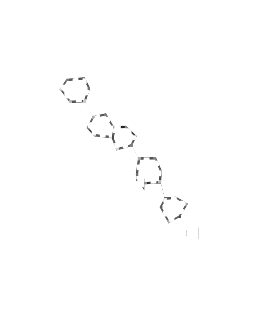 Cc1ccc(-c2ccc(-c3ccc4cc(-c5ccccc5)ccc4c3)cn2)cc1